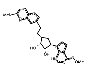 CNc1ccc2ccc(CC[C@H]3C[C@@H](n4ccc5c(=NOC)nc[nH]c54)[C@H](O)[C@@H]3O)cc2n1